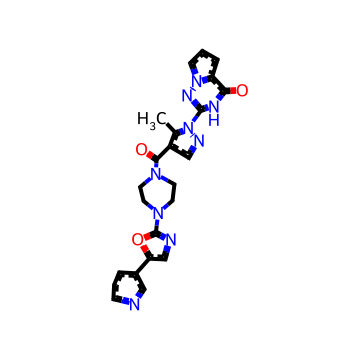 Cc1c(C(=O)N2CCN(c3ncc(-c4cccnc4)o3)CC2)cnn1-c1nn2cccc2c(=O)[nH]1